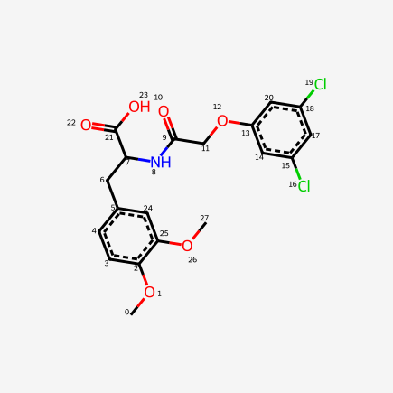 COc1ccc(CC(NC(=O)COc2cc(Cl)cc(Cl)c2)C(=O)O)cc1OC